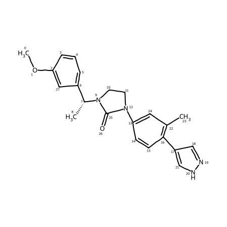 COc1cccc([C@@H](C)N2CCN(c3ccc(-c4cn[nH]c4)c(C)c3)C2=O)c1